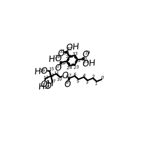 CCCCCCCC(=O)OCCC(CO)(CO)CO.O=C(O)c1ccc(C(=O)O)c(C(=O)O)c1